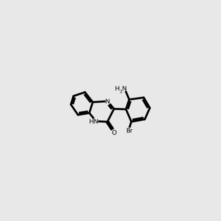 Nc1cccc(Br)c1-c1nc2ccccc2[nH]c1=O